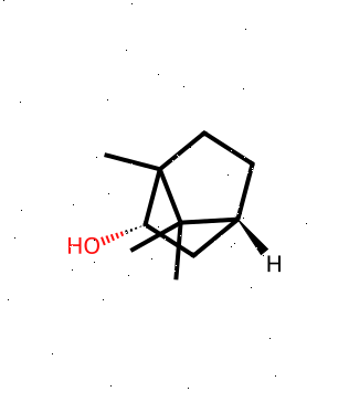 CC1(C)[C@@H]2CCC1(C)[C@@H](O)C2